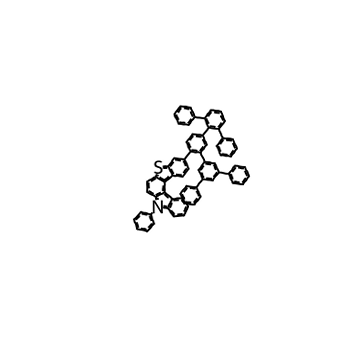 c1ccc(-c2cc(-c3ccccc3)cc(-c3cc(-c4c(-c5ccccc5)cccc4-c4ccccc4)ccc3-c3ccc4c(c3)sc3ccc5c(c6ccccc6n5-c5ccccc5)c34)c2)cc1